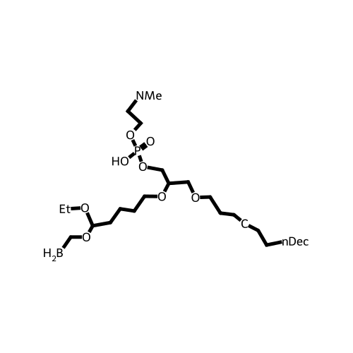 BCOC(CCCCOC(COCCCCCCCCCCCCCCCC)COP(=O)(O)OCCNC)OCC